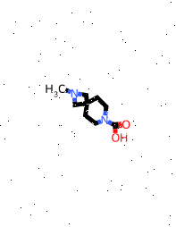 CN1CC2(CCN(C(=O)O)CC2)C1